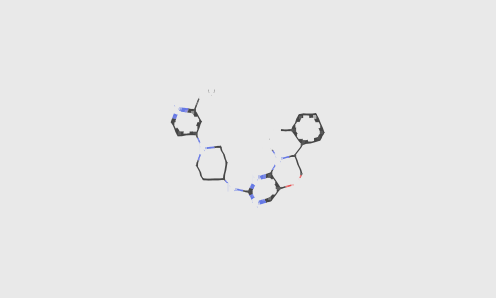 COc1cc(N2CCC(Nc3ncc4c(n3)N(C)C(c3ccccc3C)CO4)CC2)ccn1